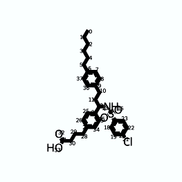 CCCCCCc1ccc(CCC(NS(=O)(=O)c2ccc(Cl)cc2)c2ccc(CCCC(=O)O)cc2)cc1